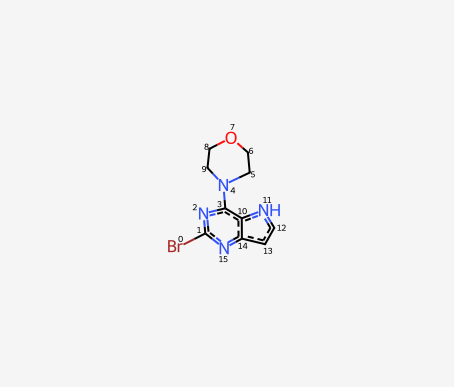 Brc1nc(N2CCOCC2)c2[nH]ccc2n1